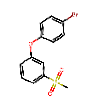 CS(=O)(=O)c1cccc(Oc2ccc(Br)cc2)c1